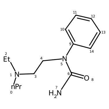 CCCN(CC)CCN(C(N)=O)c1ccccc1